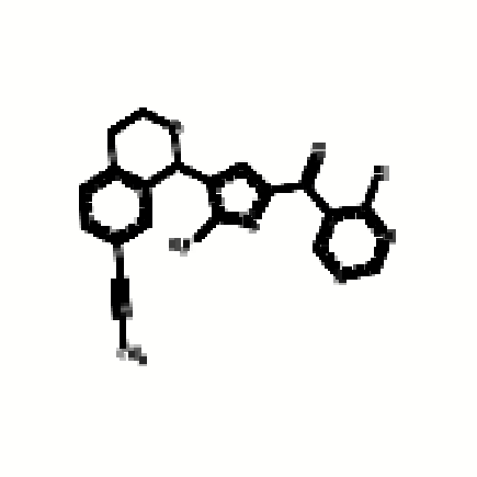 CC#Cc1ccc2c(c1)C(c1cc(C(=O)c3cncnc3Cl)sc1C)OCC2